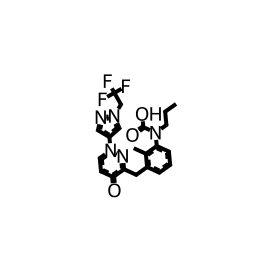 CCCN(C(=O)O)c1cccc(Cc2nn(-c3cnn(CC(F)(F)F)c3)ccc2=O)c1C